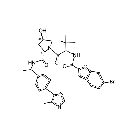 Cc1ncsc1-c1ccc(C(C)NC(=O)[C@@H]2C[C@@H](O)CN2C(=O)C(NC(=O)c2nc3ccc(Br)cc3o2)C(C)(C)C)cc1